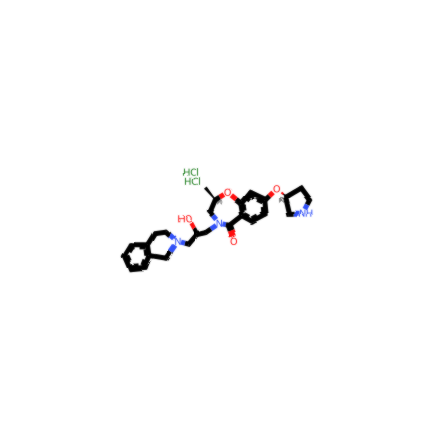 C[C@@H]1CN(CC(O)CN2CCc3ccccc3C2)C(=O)c2ccc(O[C@@H]3CCNC3)cc2O1.Cl.Cl